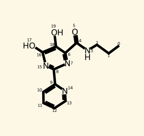 CCCNC(=O)c1nc(-c2ccccn2)nc(O)c1O